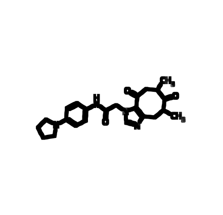 CC1CC(=O)c2c(ncn2CC(=O)Nc2ccc(N3CCCC3)cc2)CC(C)C1=O